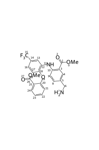 COC(=O)c1cc(CN)ccc1Nc1cc(C(F)(F)F)ccc1Oc1ccccc1C(=O)OC